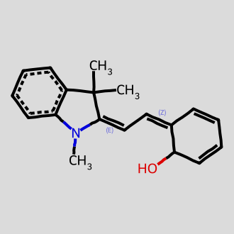 CN1/C(=C/C=C2/C=CC=CC2O)C(C)(C)c2ccccc21